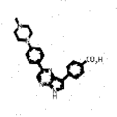 CN1CCN(c2ccc(-c3cnc4[nH]cc(-c5ccc(C(=O)O)cc5)c4n3)cc2)CC1